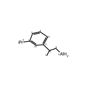 CC(C)c1cccc(C(C)[CH2][AlH2])c1